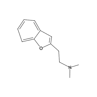 CN(C)CCc1cc2ccccc2o1